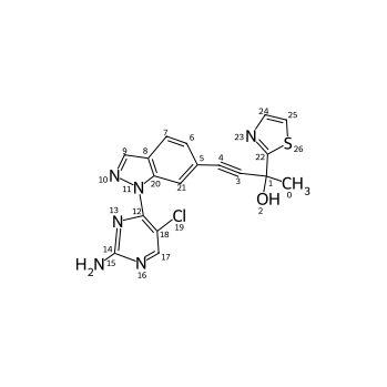 CC(O)(C#Cc1ccc2cnn(-c3nc(N)ncc3Cl)c2c1)c1nccs1